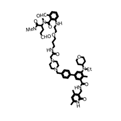 CCN(c1cc(-c2ccc(CN3CCN(CC(=O)NCCCOCCNc4cccc(C=O)c4C(=O)N(C)C(CCC=O)C(=O)NC)CC3)cc2)cc(C(=O)NCc2c(C)cc(C)[nH]c2=O)c1C)C1CCOCC1